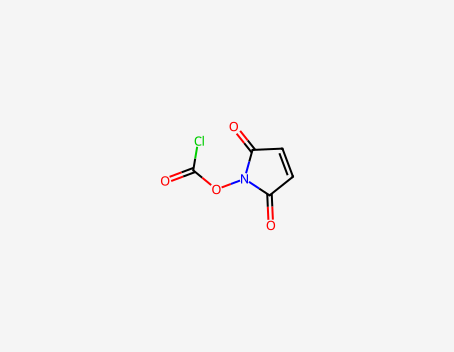 O=C(Cl)ON1C(=O)C=CC1=O